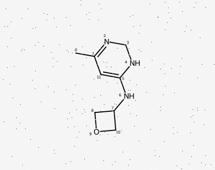 CC1=NCNC(NC2COC2)=C1